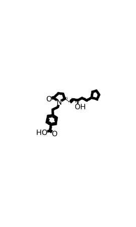 O=C(O)c1ccc(CCN2C(=O)CC[C@@H]2C=C[C@H](O)CCC2CCCC2)cc1